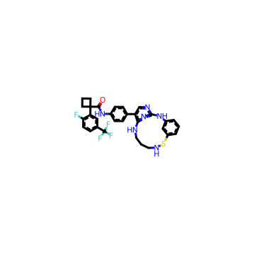 O=C(Nc1ccc(-c2cnc3nc2NCCCNSc2cccc(c2)N3)cc1)C1(c2cc(C(F)(F)F)ccc2F)CCC1